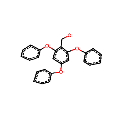 [O]Cc1c(Oc2ccccc2)cc(Oc2ccccc2)cc1Oc1ccccc1